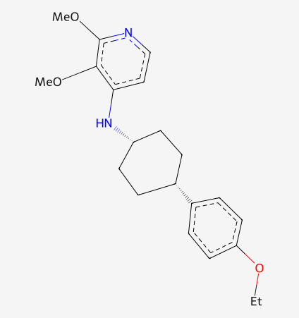 CCOc1ccc([C@H]2CC[C@@H](Nc3ccnc(OC)c3OC)CC2)cc1